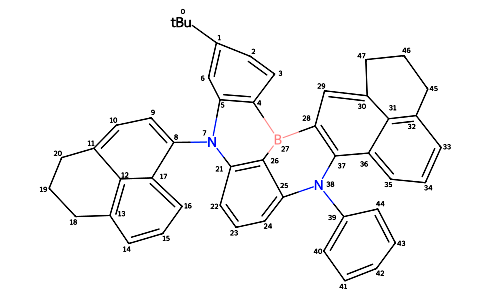 CC(C)(C)c1ccc2c(c1)N(c1ccc3c4c(cccc14)CCC3)c1cccc3c1B2c1cc2c4c(cccc4c1N3c1ccccc1)CCC2